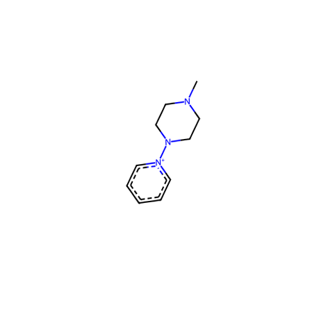 CN1CCN([n+]2ccccc2)CC1